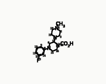 CN1CCN(C2CN(c3cccc(F)c3)CCN2C(=O)O)CC1